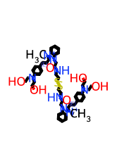 C[n+]1c(/C=C/c2ccc(N(CCO)CCO)cc2)n(CC(=O)NCCSSCCNC(=O)Cn2c(/C=C/c3ccc(N(CCO)CCO)cc3)[n+](C)c3ccccc32)c2ccccc21